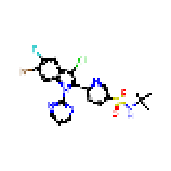 CC(C)(C)NS(=O)(=O)c1ccc(-c2c(Cl)c3cc(F)c(Br)cc3n2-c2ncccn2)nc1